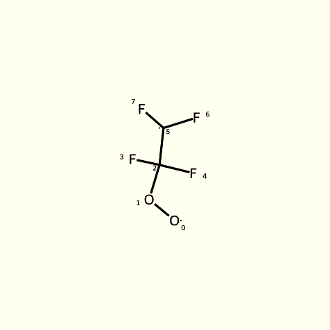 [O]OC(F)(F)[C](F)F